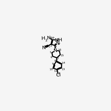 N#Cc1c(N2CCC(c3ccc(Cl)cc3)CC2)n[nH]c1N